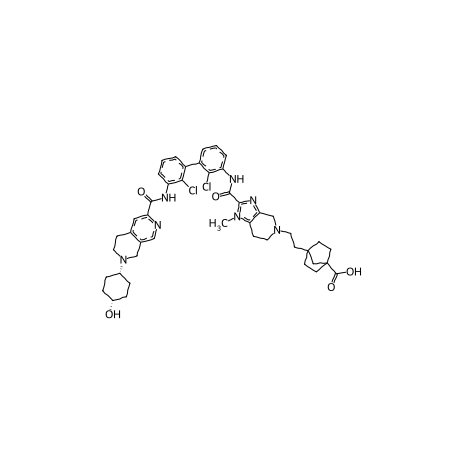 Cn1c(C(=O)Nc2cccc(-c3cccc(NC(=O)c4cc5c(cn4)CN([C@H]4CC[C@@H](O)CC4)CC5)c3Cl)c2Cl)nc2c1CCN(CCC13CCC(C(=O)O)(CC1)C3)C2